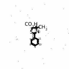 CC1(C(=O)O)CSC(c2ccccc2)=N1